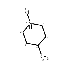 CC1CC[SiH](Cl)CC1